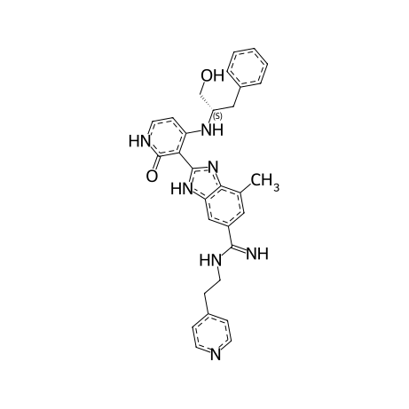 Cc1cc(C(=N)NCCc2ccncc2)cc2[nH]c(-c3c(N[C@H](CO)Cc4ccccc4)cc[nH]c3=O)nc12